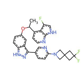 CC(Oc1ccc2[nH]nc(-c3ccc(N4CC5(C4)CC(F)(F)C5)nc3)c2c1)c1ccnc2[nH]cc(F)c12